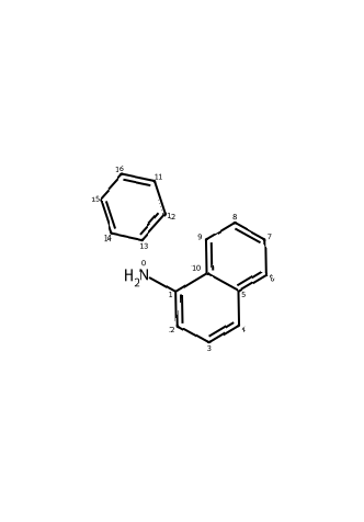 Nc1cccc2ccccc12.c1ccccc1